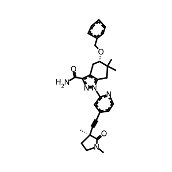 CN1CC[C@@](C)(C#Cc2ccnc(-n3nc(C(N)=O)c4c3CC(C)(C)[C@@H](OCc3ccccc3)C4)c2)C1=O